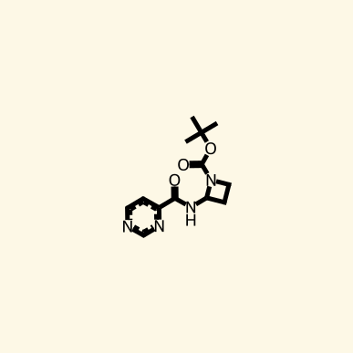 CC(C)(C)OC(=O)N1CCC1NC(=O)c1ccncn1